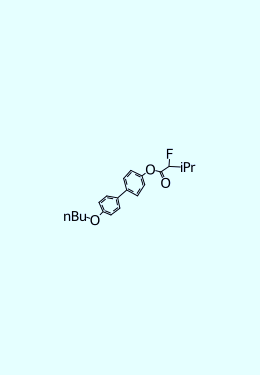 CCCCOc1ccc(-c2ccc(OC(=O)C(F)C(C)C)cc2)cc1